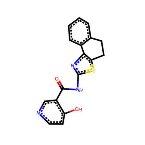 O=C(Nc1nc2c(s1)CCc1ccccc1-2)c1cnccc1O